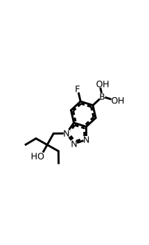 CCC(O)(CC)Cn1nnc2cc(B(O)O)c(F)cc21